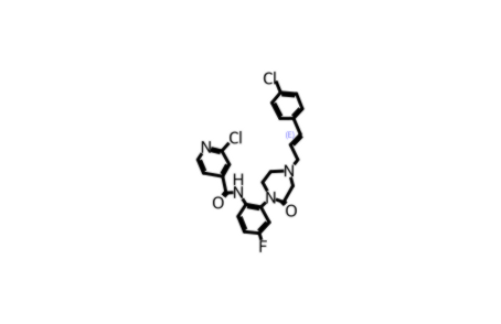 O=C(Nc1ccc(F)cc1N1CCN(C/C=C/c2ccc(Cl)cc2)CC1=O)c1ccnc(Cl)c1